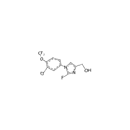 OCc1cn(-c2ccc(OC(F)(F)F)c(Cl)c2)c(F)n1